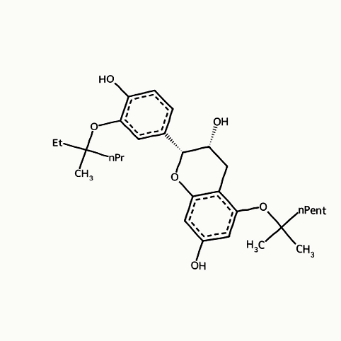 CCCCCC(C)(C)Oc1cc(O)cc2c1C[C@@H](O)[C@@H](c1ccc(O)c(OC(C)(CC)CCC)c1)O2